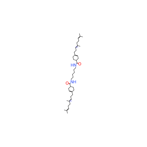 CC(C)=CCC/C(C)=C/CCC1=CCC(C(=O)NCCCCCCNC(=O)C2CC=C(CC/C=C(\C)CCC=C(C)C)CC2)CC1